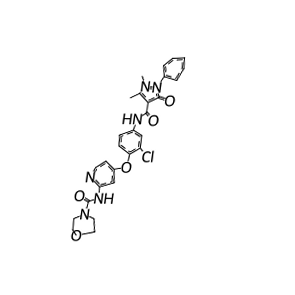 Cc1c(C(=O)Nc2ccc(Oc3ccnc(NC(=O)N4CCOCC4)c3)c(Cl)c2)c(=O)n(-c2ccccc2)n1C